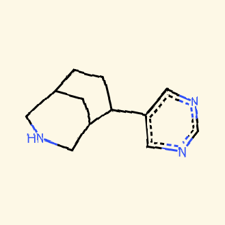 c1ncc(C2CCC3CNCC2C3)cn1